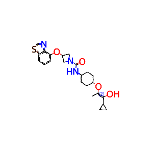 C/C(O[C@H]1CC[C@H](NC(=O)N2CC(Oc3cccc4scnc34)C2)CC1)=C(/O)C1CC1